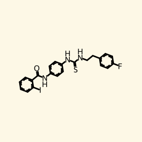 O=C(Nc1ccc(NC(=S)NCCc2ccc(F)cc2)cc1)c1ccccc1I